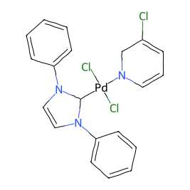 ClC1=CC=C[N]([Pd]([Cl])([Cl])[CH]2N(c3ccccc3)C=CN2c2ccccc2)C1